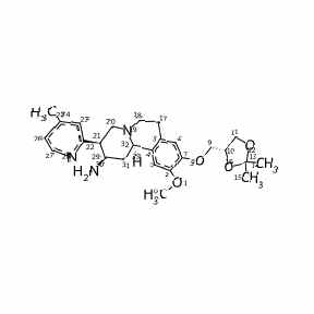 COc1cc2c(cc1OC[C@@H]1COC(C)(C)O1)CCN1C[C@H](c3cc(C)ccn3)[C@H](N)C[C@H]21